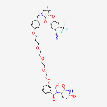 CC1(C)CN(Cc2ccc(OCCCOCCOCCOCCOc3cccc4c3C(=O)N(C3CCC(=O)NC3=O)C4=O)cc2)C(=O)C1Oc1ccc(C#N)c(C(F)(F)F)c1